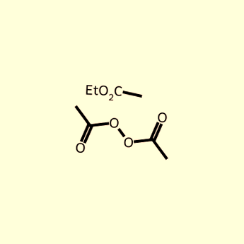 CC(=O)OOC(C)=O.CCOC(C)=O